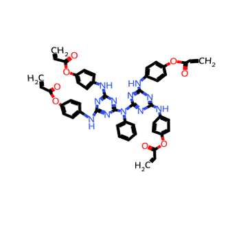 C=CC(=O)Oc1ccc(Nc2nc(Nc3ccc(OC(=O)C=C)cc3)nc(N(c3ccccc3)c3nc(Nc4ccc(OC(=O)C=C)cc4)nc(Nc4ccc(OC(=O)C=C)cc4)n3)n2)cc1